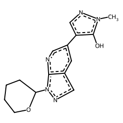 Cn1ncc(-c2cnc3c(cnn3C3CCCCO3)c2)c1O